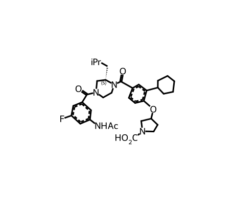 CC(=O)Nc1cc(F)cc(C(=O)N2CCN(C(=O)c3ccc(OC4CCN(C(=O)O)C4)c(C4CCCCC4)c3)[C@@H](CC(C)C)C2)c1